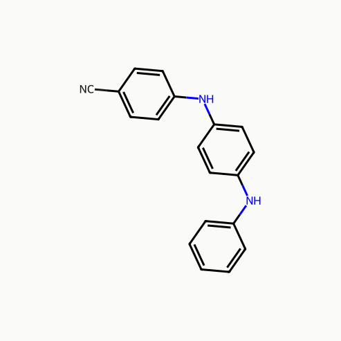 N#Cc1ccc(Nc2ccc(Nc3ccccc3)cc2)cc1